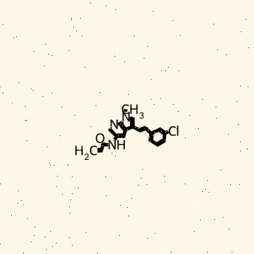 C=CC(=O)Nc1cnc2c(c1)c(C=Cc1cccc(Cl)c1)cn2C